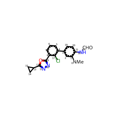 CNc1cc(-c2cccc(-c3nnc(C4CC4)o3)c2Cl)ccc1NC=O